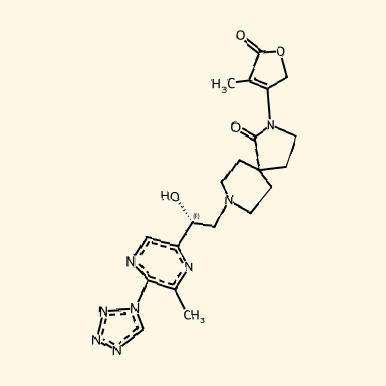 CC1=C(N2CCC3(CCN(C[C@@H](O)c4cnc(-n5cnnn5)c(C)n4)CC3)C2=O)COC1=O